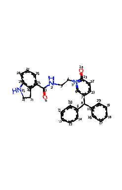 O=C(NCCn1cc(C(c2ccccc2)c2ccccc2)ccc1=O)c1cccc2c1CCN2